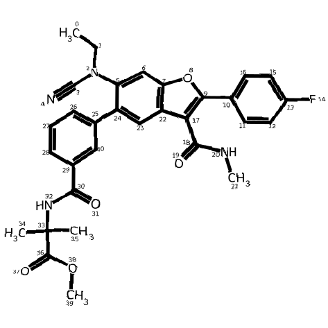 CCN(C#N)c1cc2oc(-c3ccc(F)cc3)c(C(=O)NC)c2cc1-c1cccc(C(=O)NC(C)(C)C(=O)OC)c1